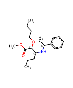 CCCCO[C@H](C(=O)OC)[C@H](CCC)N[C@@H](C)c1ccccc1